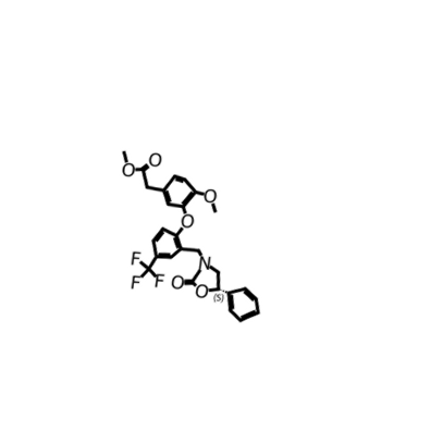 COC(=O)Cc1ccc(OC)c(Oc2ccc(C(F)(F)F)cc2CN2C[C@H](c3ccccc3)OC2=O)c1